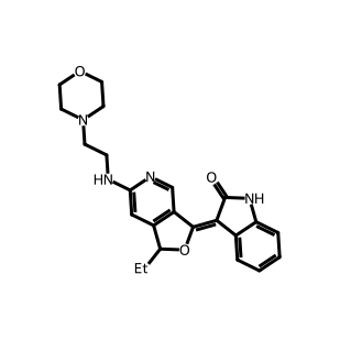 CCC1OC(=C2C(=O)Nc3ccccc32)c2cnc(NCCN3CCOCC3)cc21